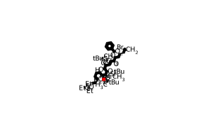 C=C(Br)C[C@@H](CCC(=O)C=C[C@H](O[Si](C)(C)C(C)(C)C)[C@@H]1O[C@H]2CC[C@H](CCO[Si](CC)(CC)CC)O[C@@H]2[C@H](O[Si](C)(C)C(C)(C)C)[C@@H]1O[Si](C)(C)C(C)(C)C)OC(=O)c1ccccc1